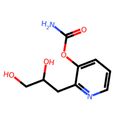 NC(=O)Oc1cccnc1CC(O)CO